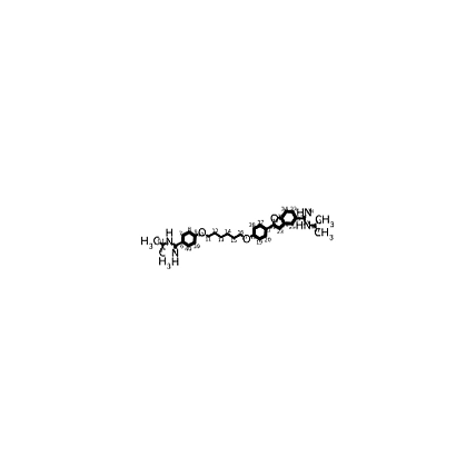 CC(C)NC(=N)c1ccc(OCCCCCCOc2ccc(-c3cc4cc(C(=N)NC(C)C)ccc4o3)cc2)cc1